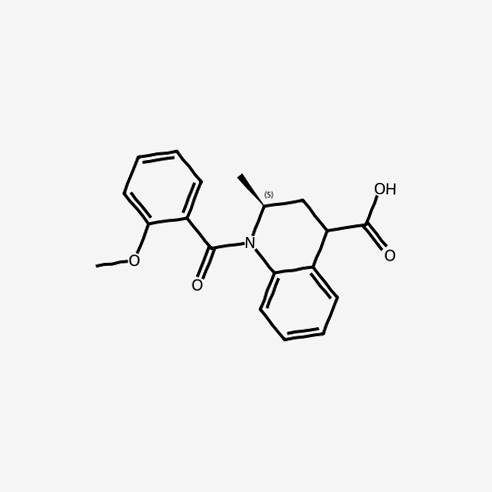 COc1ccccc1C(=O)N1c2ccccc2C(C(=O)O)C[C@@H]1C